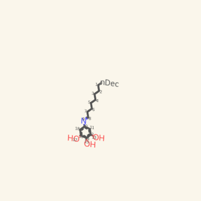 CCCCCCCCCCCCCCCCCC=Nc1cc(O)c(O)c(O)c1